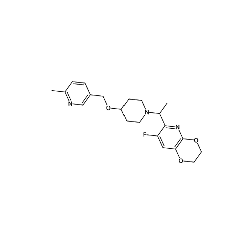 Cc1ccc(COC2CCN(C(C)c3nc4c(cc3F)OCCO4)CC2)cn1